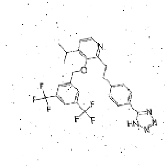 CC(C)c1ccnc(CCc2ccc(-c3nnn[nH]3)cc2)c1OCc1cc(C(F)(F)F)cc(C(F)(F)F)c1